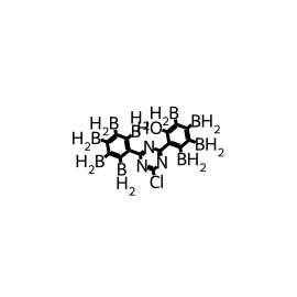 Bc1c(B)c(B)c(-c2nc(Cl)nc(-c3c(B)c(B)c(B)c(B)c3O)n2)c(B)c1B